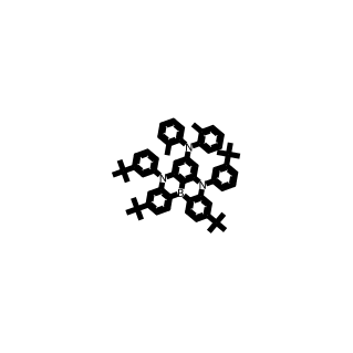 Cc1ccccc1N(c1cc2c3c(c1)N(c1cccc(C(C)(C)C)c1)c1cc(C(C)(C)C)ccc1B3c1ccc(C(C)(C)C)cc1N2c1cccc(C(C)(C)C)c1)c1ccccc1C